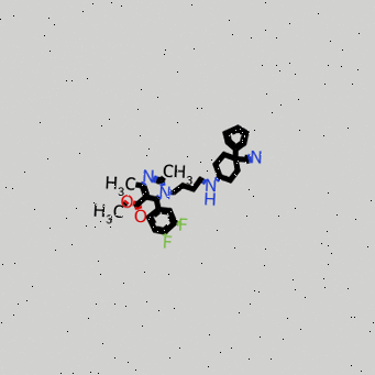 COC(=O)C1=C(C)N=C(C)N(CCCCNC2CCC(C#N)(c3ccccc3)CC2)C1c1ccc(F)c(F)c1